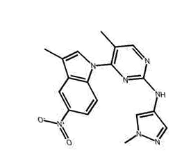 Cc1cnc(Nc2cnn(C)c2)nc1-n1cc(C)c2cc([N+](=O)[O-])ccc21